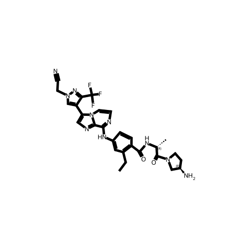 CCc1cc(Nc2nccn3c(-c4cn(CC#N)nc4C(F)(F)F)cnc23)ccc1C(=O)N[C@H](C)C(=O)N1CC[C@@H](N)C1